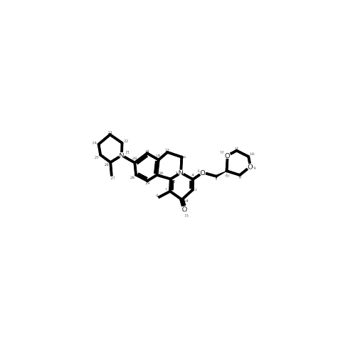 Cc1c2n(c(OC[C@@H]3COCCO3)cc1=O)CCc1cc(N3CCCCC3C)ccc1-2